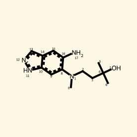 CN(CCC(C)(C)O)c1cc2[nH]ncc2cc1N